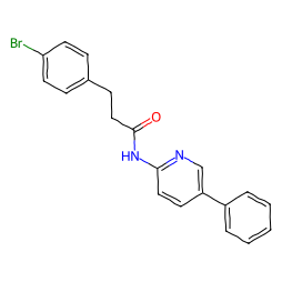 O=C(CCc1ccc(Br)cc1)Nc1ccc(-c2ccccc2)cn1